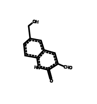 O=Cc1cc2cc(CO)ccc2[nH]c1=O